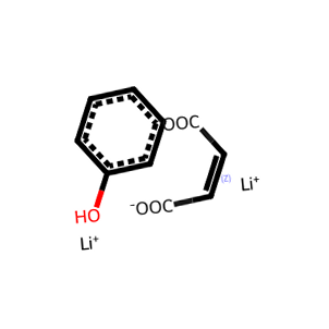 O=C([O-])/C=C\C(=O)[O-].Oc1ccccc1.[Li+].[Li+]